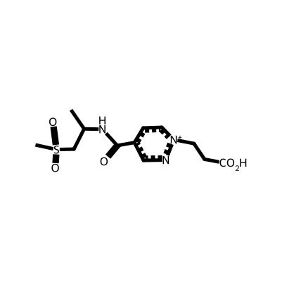 CC(CS(C)(=O)=O)NC(=O)c1cc[n+](CCC(=O)O)nc1